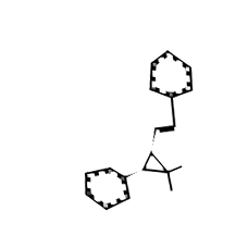 CC1(C)[C@H](/C=C/c2ccccc2)[C@@H]1c1ccccc1